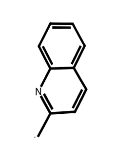 [CH2]c1ccc2ccccc2n1